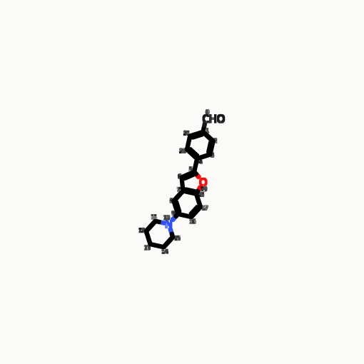 O=Cc1ccc(-c2cc3cc(N4CCCCC4)ccc3o2)cc1